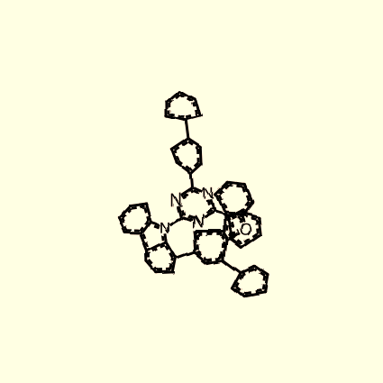 c1ccc(-c2ccc(-c3nc(-c4ccccc4)nc(-n4c5ccccc5c5cccc(-c6cc(-c7ccccc7)c7oc8ccccc8c7c6)c54)n3)cc2)cc1